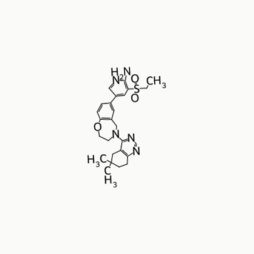 CCS(=O)(=O)c1cc(-c2ccc3c(c2)CN(c2ncnc4c2CC(C)(C)CC4)CCO3)cnc1N